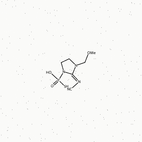 COCN1CCN(P(=O)(O)S)C1=NC#N